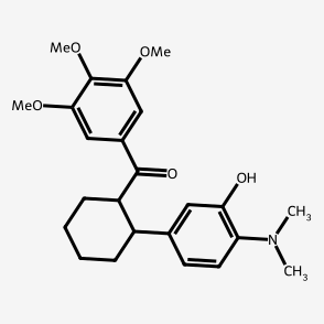 COc1cc(C(=O)C2CCCCC2c2ccc(N(C)C)c(O)c2)cc(OC)c1OC